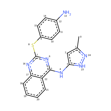 Cc1cc(Nc2nc(Sc3ccc(N)cc3)nc3ccccc23)[nH]n1